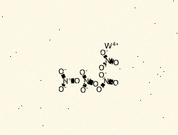 O=[N+]([O-])[O-].O=[N+]([O-])[O-].O=[N+]([O-])[O-].O=[N+]([O-])[O-].[W+4]